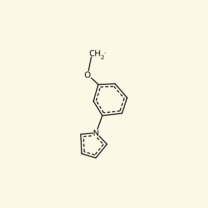 [CH2]Oc1cccc(-n2cccc2)c1